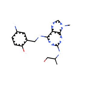 CCC(CO)Nc1nc(NCc2cc(N)ccc2O)c2ncn(C)c2n1